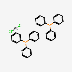 [Cl][Pt][Cl].c1ccc(P(c2ccccc2)c2ccccc2)cc1.c1ccc(P(c2ccccc2)c2ccccc2)cc1